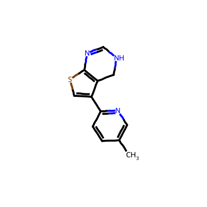 Cc1ccc(-c2csc3c2CNC=N3)nc1